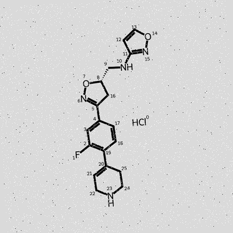 Cl.Fc1cc(C2=NO[C@H](CNc3ccon3)C2)ccc1C1=CCNCC1